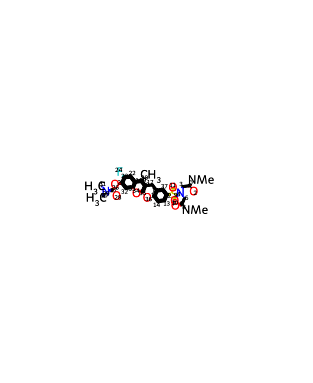 CNC(=O)CN(CC(=O)NC)S(=O)(=O)c1cccc(Cc2c(C)c3cc(F)c(OC(=O)N(C)C)cc3oc2=O)c1